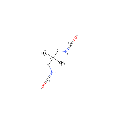 CC(C)(CN=C=O)CN=C=O